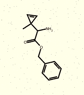 CC1(C(N)C(=O)OCc2ccccc2)C=C1